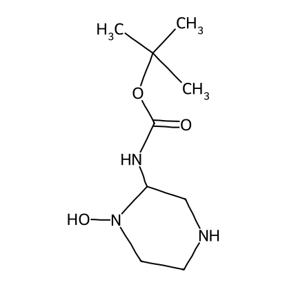 CC(C)(C)OC(=O)NC1CNCCN1O